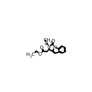 CCOC(=O)CC1c2cc3ccccc3n2C(=O)N1OC